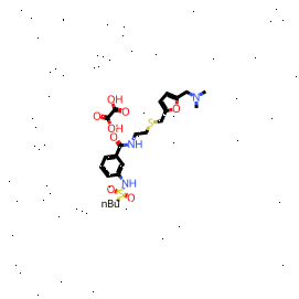 CCCCS(=O)(=O)Nc1cccc(C(=O)NCCSCc2ccc(CN(C)C)o2)c1.O=C(O)C(=O)O